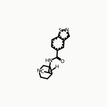 O=C(N[C@H]1CN2CCC1CC2)c1ccc2sncc2c1